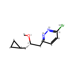 CO[C@@H]([CH]C1CC1)Cc1ccc(Br)nn1